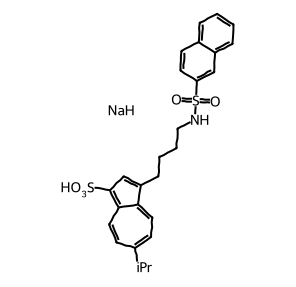 CC(C)c1ccc2c(CCCCNS(=O)(=O)c3ccc4ccccc4c3)cc(S(=O)(=O)O)c-2cc1.[NaH]